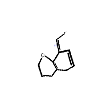 F/C=C1\C=CCC2=C1OCCC2